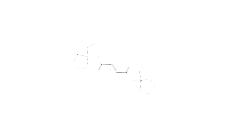 CCC1(OC(=O)/C=C/C(=O)OC2(CC)CCCC2)CCCC1